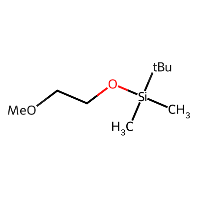 COCCO[Si](C)(C)C(C)(C)C